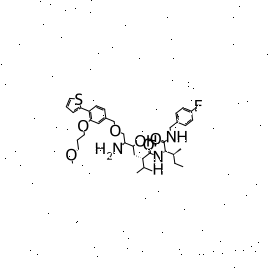 CC[C@H](C)[C@H](NC(=O)[C@@H](C[C@H](O)[C@@H](N)COCc1ccc(-c2cccs2)c(OCCCOC)c1)C(C)C)C(=O)NCc1ccc(F)cc1